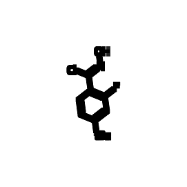 CC(C)(C)c1ccc(C(Cl)=NO)c(F)c1